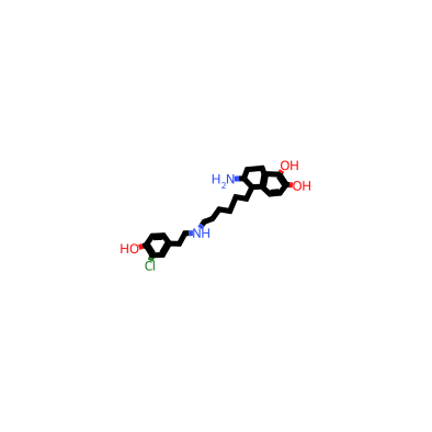 NC1CCc2c(ccc(O)c2O)C1CCCCCCNCCc1ccc(O)c(Cl)c1